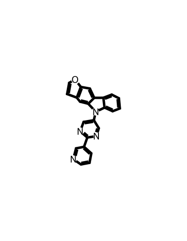 c1cncc(-c2ncc(-n3c4ccccc4c4cc5occc5cc43)cn2)c1